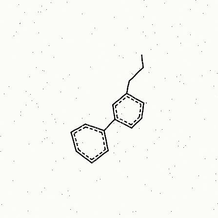 CCCc1[c]ccc(-c2ccccc2)c1